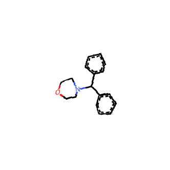 [c]1ccc(C(c2ccccc2)N2CCOCC2)cc1